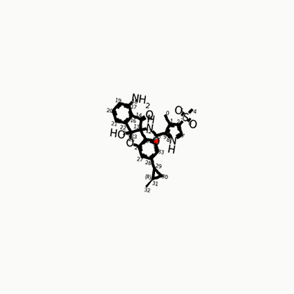 Cc1c(S(C)(=O)=O)c[nH]c1C(=O)NC12C(=O)c3c(N)cccc3C1(O)Oc1cc(C3C[C@H]3C)ccc12